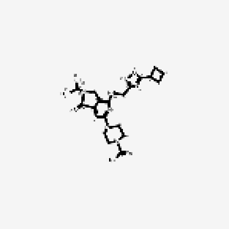 CC(=O)N1CCN(c2nc(NCc3noc(C4CCC4)n3)c3c(n2)C(=O)N(C(C)C)C3)CC1